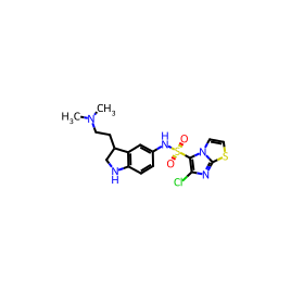 CN(C)CCC1CNc2ccc(NS(=O)(=O)c3c(Cl)nc4sccn34)cc21